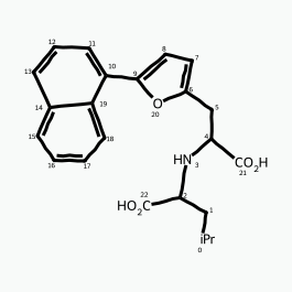 CC(C)CC(NC(Cc1ccc(-c2cccc3ccccc23)o1)C(=O)O)C(=O)O